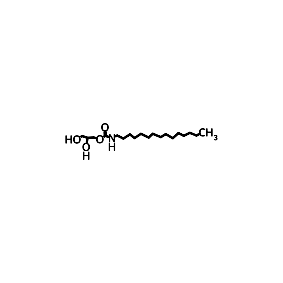 CCCCCCCCCCCCCCCNC(=O)OCC(O)CO